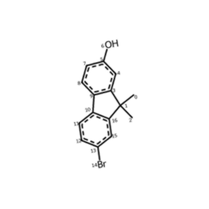 CC1(C)c2cc(O)ccc2-c2ccc(Br)cc21